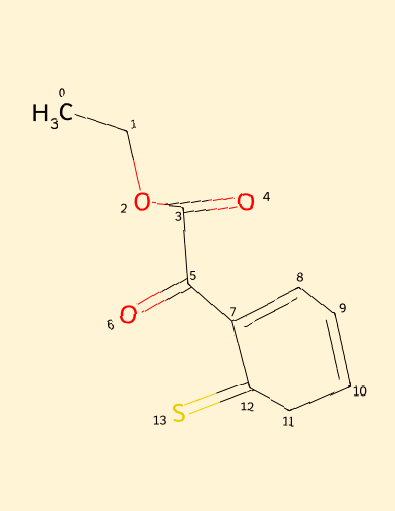 CCOC(=O)C(=O)C1=CC=CCC1=S